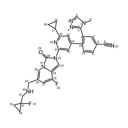 Cn1cnnc1-c1cc(C#N)ccc1-c1cc(C2CC2)nc(-n2cc3c(F)cc(CNCC4(F)CC4)cn3c2=O)c1